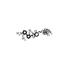 Cc1c(N)cccc1-c1cccc(-c2nc3c(o2)CCN(CCO[Si](C)(C)C(C)(C)C)C3=O)c1C